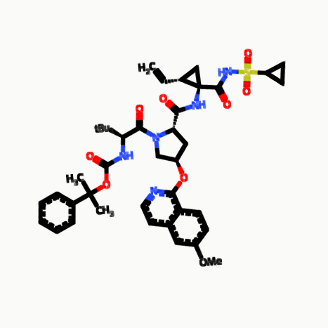 C=C[C@@H]1C[C@]1(NC(=O)[C@@H]1C[C@@H](Oc2nccc3cc(OC)ccc23)CN1C(=O)[C@@H](NC(=O)OC(C)(C)c1ccccc1)C(C)(C)C)C(=O)NS(=O)(=O)C1CC1